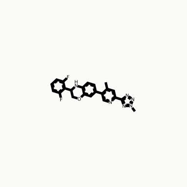 Cc1cc(-c2nnn(C)n2)ncc1-c1ccc2c(c1)OCC(c1c(F)cccc1F)N2